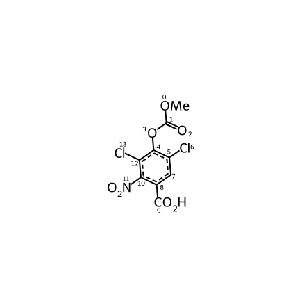 COC(=O)Oc1c(Cl)cc(C(=O)O)c([N+](=O)[O-])c1Cl